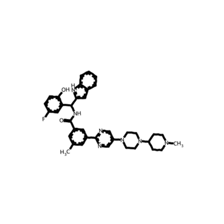 Cc1cc(C(=O)NC(c2cc3ccccc3[nH]2)c2cc(F)ccc2O)cc(-c2ncc(N3CCN(C4CCN(C)CC4)CC3)cn2)c1